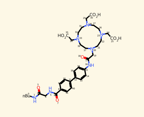 CCCCNC(=O)CNC(=O)c1ccc(-c2ccc(NC(=O)CN3CCN(CC(=O)O)CCN(CC(=O)O)CCN(CC(=O)O)CC3)cc2)cc1